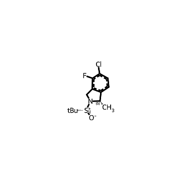 C[C@H]1c2ccc(Cl)c(F)c2CN1[S@+]([O-])C(C)(C)C